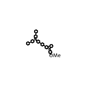 COc1ccc(-n2c3ccccc3c3cc(-c4ccc(-c5ccc(N(c6ccc(-c7ccccc7)cc6)c6ccc(-c7ccccc7)cc6)cc5)cc4)ccc32)cc1